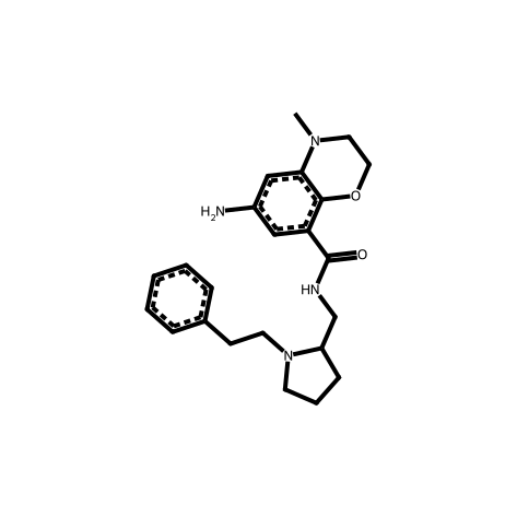 CN1CCOc2c(C(=O)NCC3CCCN3CCc3ccccc3)cc(N)cc21